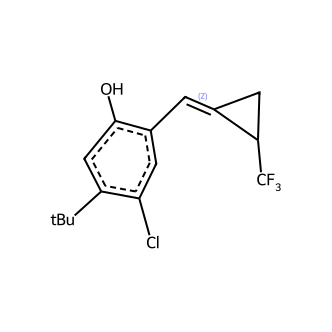 CC(C)(C)c1cc(O)c(/C=C2/CC2C(F)(F)F)cc1Cl